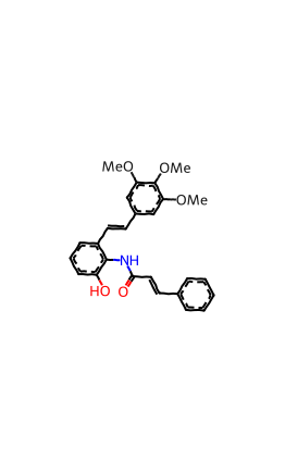 COc1cc(C=Cc2cccc(O)c2NC(=O)/C=C/c2ccccc2)cc(OC)c1OC